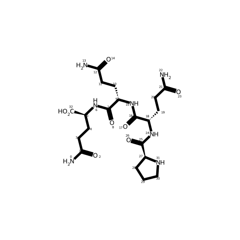 NC(=O)CC[C@H](NC(=O)[C@H](CCC(N)=O)NC(=O)[C@H](CCC(N)=O)NC(=O)[C@@H]1CCCN1)C(=O)O